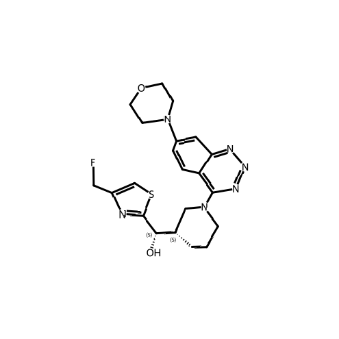 O[C@H](c1nc(CF)cs1)[C@H]1CCCN(c2nnnc3cc(N4CCOCC4)ccc23)C1